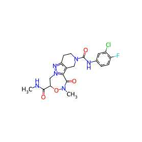 CNC(=O)C1Cn2nc3c(c2C(=O)N(C)O1)CN(C(=O)Nc1ccc(F)c(Cl)c1)CC3